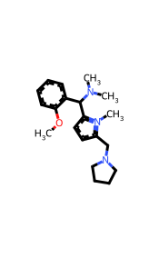 COc1ccccc1C(c1ccc(CN2CCCC2)n1C)N(C)C